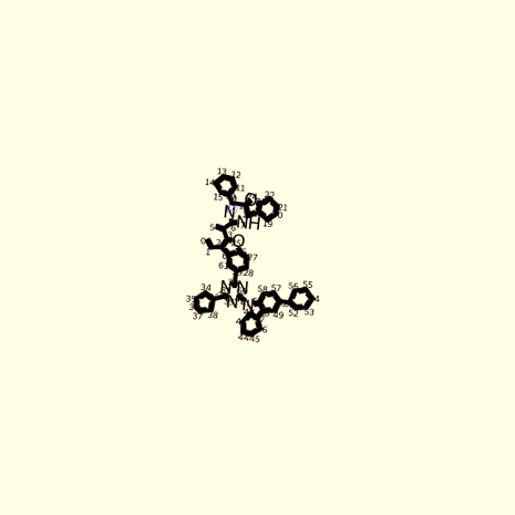 C=Cc1c(C(=C)C(=N)/N=C(/c2ccccc2)c2cc3ccccc3o2)oc2ccc(-c3nc(-c4ccccc4)nc(-n4c5ccccc5c5cc(-c6ccccc6)ccc54)n3)cc12